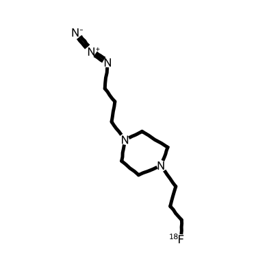 [N-]=[N+]=NCCCN1CCN(CCC[18F])CC1